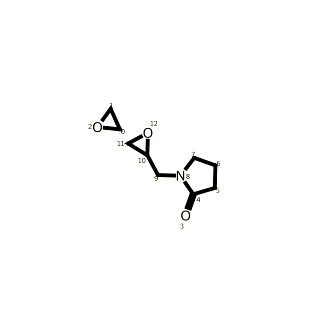 C1CO1.O=C1CCCN1CC1CO1